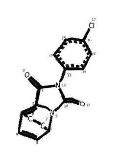 O=C1C2=C3C=CC(CC3)N2C(=O)N1c1ccc(Cl)cc1